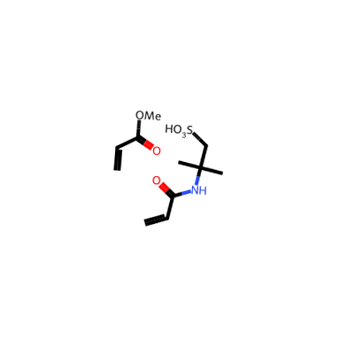 C=CC(=O)NC(C)(C)CS(=O)(=O)O.C=CC(=O)OC